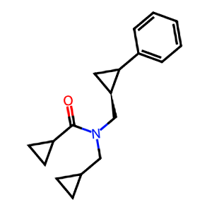 O=C(C1CC1)N(CC1CC1)C[C@H]1CC1c1ccccc1